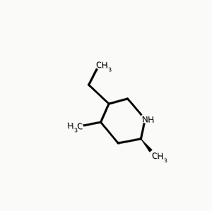 CCC1CN[C@@H](C)CC1C